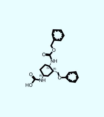 O=C(O)N[C@@H]1CC[C@H](NC(=O)OCc2ccccc2)[C@H](COc2ccccc2)C1